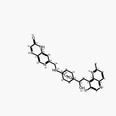 Cc1ccc2ncc(F)c(CC(O)C34CCC(NCc5cc6[nH]c(=O)cnc6cn5)(CC3)CO4)c2n1